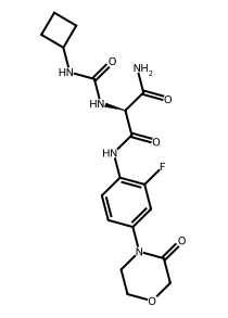 NC(=O)[C@H](NC(=O)NC1CCC1)C(=O)Nc1ccc(N2CCOCC2=O)cc1F